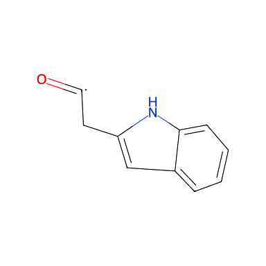 O=[C]Cc1cc2ccccc2[nH]1